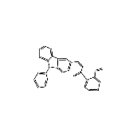 O=Cc1ccccc1C(=O)/C=C\c1ccc2c(c1)c1ccccc1n2-c1ccccc1